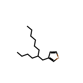 CCCCCCC(CCCC)Cc1[c]scc1